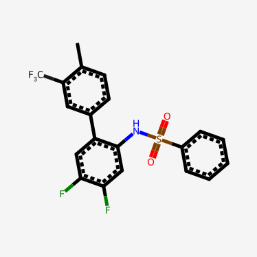 Cc1ccc(-c2cc(F)c(F)cc2NS(=O)(=O)c2ccccc2)cc1C(F)(F)F